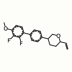 C=CC1CCC(c2ccc(-c3ccc(OC)c(F)c3F)cc2)CO1